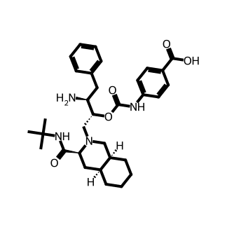 CC(C)(C)NC(=O)[C@@H]1C[C@@H]2CCCC[C@@H]2CN1C[C@@H](OC(=O)Nc1ccc(C(=O)O)cc1)[C@@H](N)Cc1ccccc1